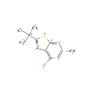 Cc1cc(Cl)c2cc(C(C)(C)C)sc2c1